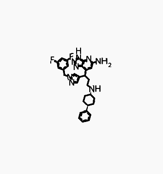 Nc1cc(C(CCN[C@H]2CC[C@H](c3ccccc3)CC2)c2cnn(Cc3cc(F)cc(F)c3)c2)c2nn[nH]c2n1